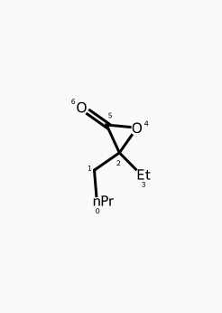 CCCCC1(CC)OC1=O